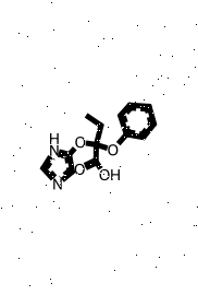 CCC(Oc1ccccc1)(Oc1cnc[nH]1)C(=O)O